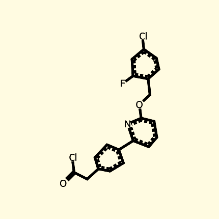 O=C(Cl)Cc1ccc(-c2cccc(OCc3ccc(Cl)cc3F)n2)cc1